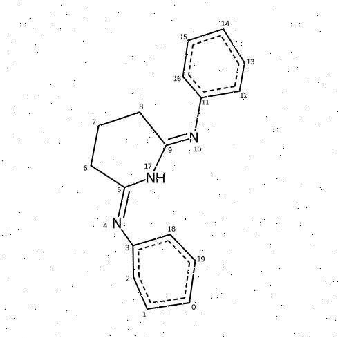 c1ccc(/N=C2/CCC/C(=N\c3ccccc3)N2)cc1